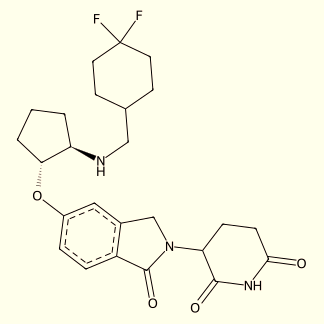 O=C1CCC(N2Cc3cc(O[C@@H]4CCC[C@H]4NCC4CCC(F)(F)CC4)ccc3C2=O)C(=O)N1